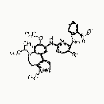 COc1cc2c(cc1Nc1ncc(Br)c(Nc3ccccc3[N+](=O)[O-])n1)-c1cnn(C)c1CCN2C(C)C